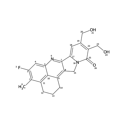 Cc1c(F)cc2nc3c(c4c2c1CCC4)Cn1c-3cc(CO)c(CO)c1=O